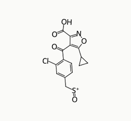 O=[S+]Cc1ccc(C(=O)c2c(C(=O)O)noc2C2CC2)c(Cl)c1